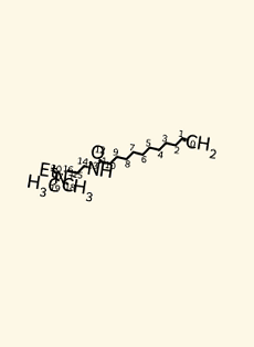 C=CCCCCCCCCCC(=O)NCCC[N+](C)(C)CC